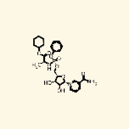 C[C@H](NP(=O)(OC[C@H]1O[C@@H]([n+]2cccc(C(N)=O)c2)[C@@H](O)[C@H]1O)Oc1ccccc1)C(=O)OC1CCCCC1